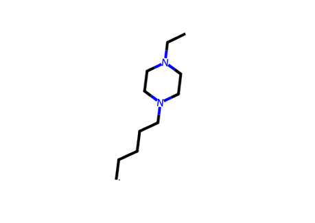 [CH2]CCCCN1CCN(CC)CC1